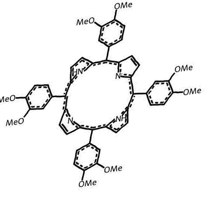 COc1ccc(-c2c3nc(c(-c4ccc(OC)c(OC)c4)c4ccc([nH]4)c(-c4ccc(OC)c(OC)c4)c4nc(c(-c5ccc(OC)c(OC)c5)c5ccc2[nH]5)C=C4)C=C3)cc1OC